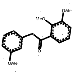 COc1cccc(CC(=O)c2cccc(OC)c2OC)c1